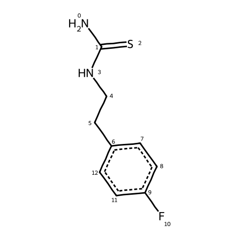 NC(=S)NCCc1ccc(F)cc1